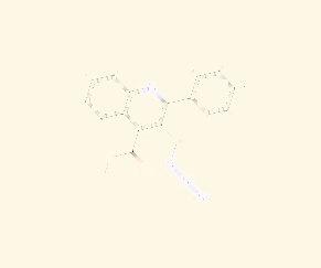 COC(=O)c1c(CN=[N+]=[N-])c(-c2ccccc2)nc2ccccc12